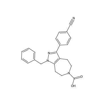 N#Cc1ccc(-c2nn(Cc3ccccc3)c3c2CCN(C(=O)O)CC3)cc1